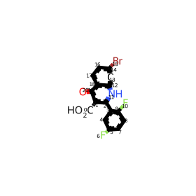 O=C(O)c1c(-c2cc(F)ccc2F)[nH]c2cc(Br)ccc2c1=O